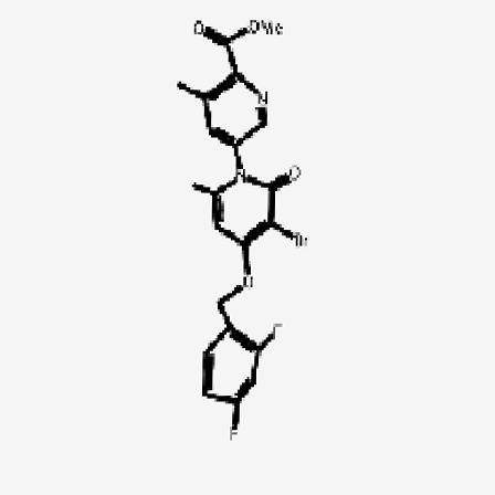 COC(=O)c1ncc(-n2c(C)cc(OCc3ccc(F)cc3F)c(Br)c2=O)cc1C